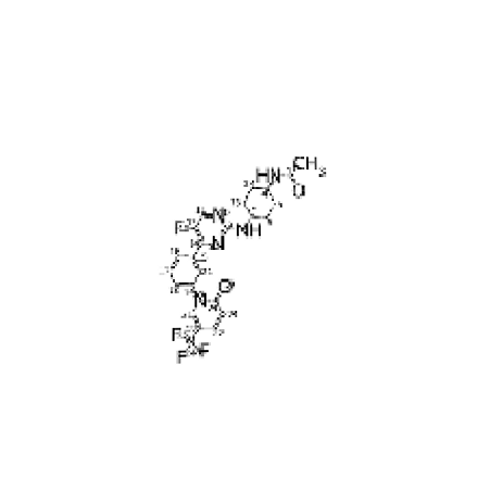 CC(=O)N[C@H]1CC[C@H](Nc2ncc(F)c(-c3cccc(-n4cc(C(F)(F)F)ccc4=O)c3)n2)CC1